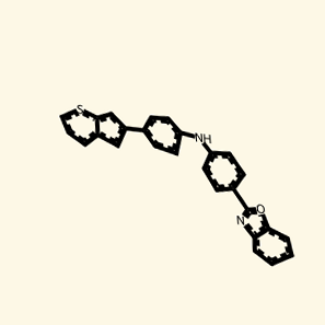 c1csc2cc(-c3ccc(Nc4ccc(-c5nc6ccccc6o5)cc4)cc3)cc-2c1